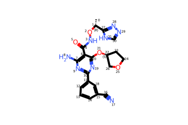 C[C@@H](ONC(=O)c1c(N)nc(-c2cccc(C#N)c2)nc1O[C@H]1CCOC1)c1nnc[nH]1